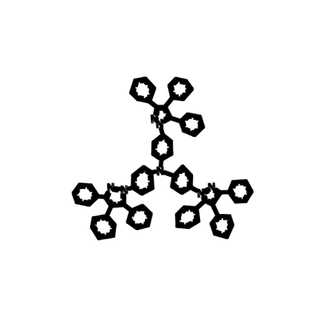 c1ccc(-c2nn(-c3ccc(N(c4ccc(-n5nc(-c6ccccc6)c(-c6ccccc6)c5-c5ccccc5)cc4)c4ccc(-n5nc(-c6ccccc6)c(-c6ccccc6)c5-c5ccccc5)cc4)cc3)c(-c3ccccc3)c2-c2ccccc2)cc1